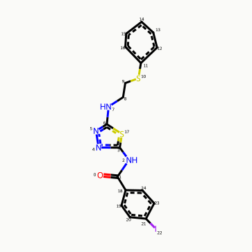 O=C(Nc1nnc(NCCSc2ccccc2)s1)c1ccc(I)cc1